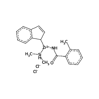 Cc1ccccc1C(=O)[NH][Zr+2]([CH]1C=Cc2ccccc21)[SiH](C)C.[Cl-].[Cl-]